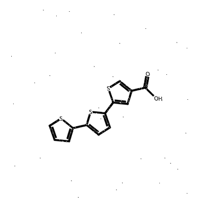 O=C(O)c1csc(-c2ccc(-c3cccs3)s2)c1